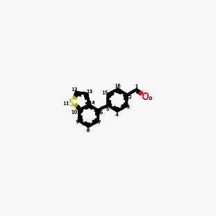 O=Cc1ccc(-c2cccc3sccc23)cc1